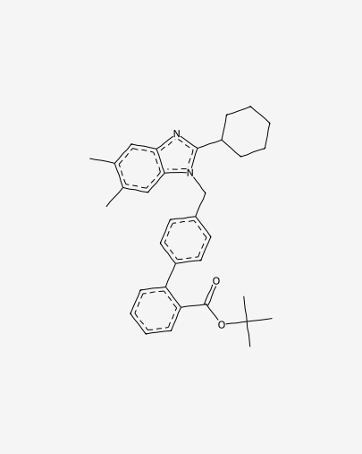 Cc1cc2nc(C3CCCCC3)n(Cc3ccc(-c4ccccc4C(=O)OC(C)(C)C)cc3)c2cc1C